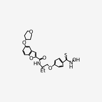 CC[C@@H](COc1ccc(C(=S)NO)cc1)NC(=O)c1cc2cc(OC3CCOCC3)ccc2o1